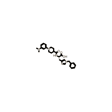 CN(C)c1cccc(N2CCC(C(=O)N[C@@H](Cc3cn(Cc4ccccc4)cn3)C(=O)O)CC2)c1